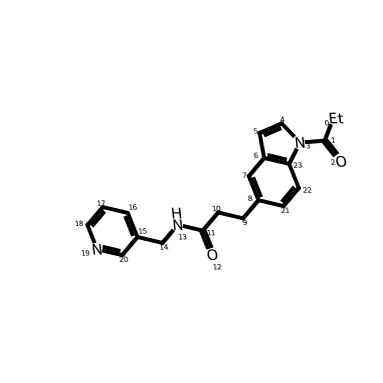 CCC(=O)n1ccc2cc(CCC(=O)NCc3cccnc3)ccc21